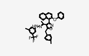 C/C(=N\Nc1cc(C)cc(C(F)(F)F)c1)c1c(-c2c(Oc3ccccc3)ccc3ccccc23)noc1Cc1ccc(C)cc1